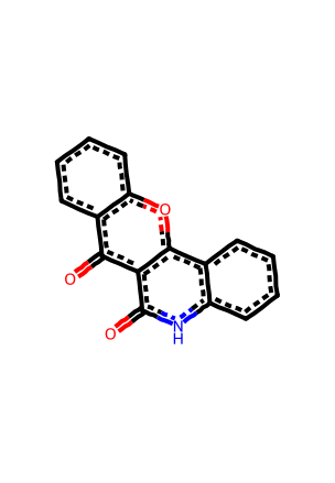 O=c1[nH]c2ccccc2c2oc3ccccc3c(=O)c12